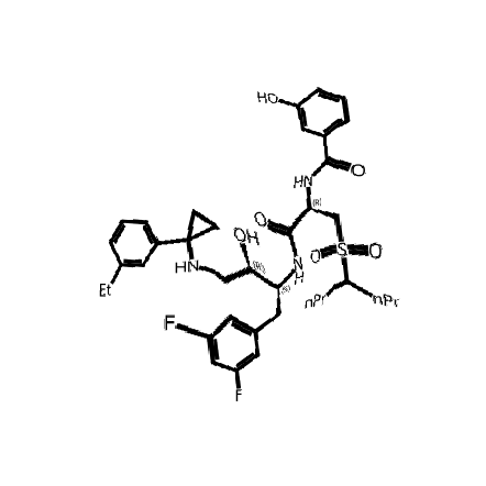 CCCC(CCC)S(=O)(=O)C[C@H](NC(=O)c1cccc(O)c1)C(=O)N[C@@H](Cc1cc(F)cc(F)c1)[C@H](O)CNC1(c2cccc(CC)c2)CC1